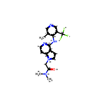 Cc1cncc(C(F)(F)F)c1Nc1nccc2c1ccn2CC(=O)N(C)C